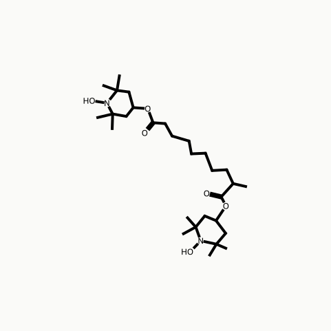 CC(CCCCCCCC(=O)OC1CC(C)(C)N(O)C(C)(C)C1)C(=O)OC1CC(C)(C)N(O)C(C)(C)C1